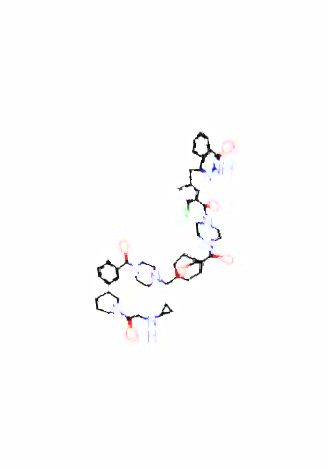 O=C(CNC1CC1)N1CCC[C@H](c2cccc(C(=O)N3CCN(CC45CCC(C(=O)N6CCN(C(=O)c7cc(Cc8n[nH]c(=O)c9ccccc89)ccc7F)CC6)(CC4)CO5)CC3)c2)C1